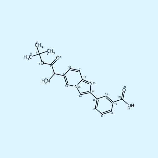 CC(C)(C)OC(=O)C(N)c1ccc2nc(-c3cccc(C(=O)O)c3)cn2c1